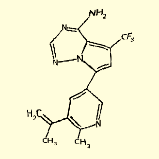 C=C(C)c1cc(-c2cc(C(F)(F)F)c3c(N)ncnn23)cnc1C